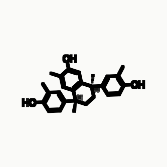 Cc1cc([C@@]2(C)CC[C@](C)(c3ccc(O)c(C)c3)c3cc(O)c(C)cc32)ccc1O